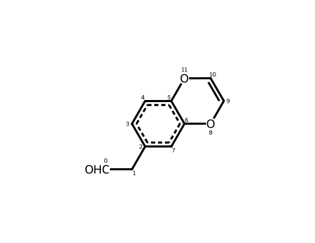 O=CCc1ccc2c(c1)OC=CO2